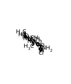 CCNc1nnc(-c2cnc(N3C[C@H](CC)N(C4CCN(C(=O)c5ccc(Cl)nc5N)CC4)C[C@H]3C)c(C)n2)o1